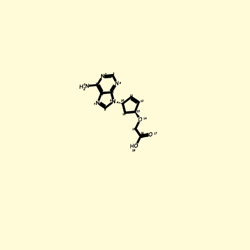 Nc1ncnc2c1ncn2[C@@H]1C=C[C@@H](OCC(=O)O)C1